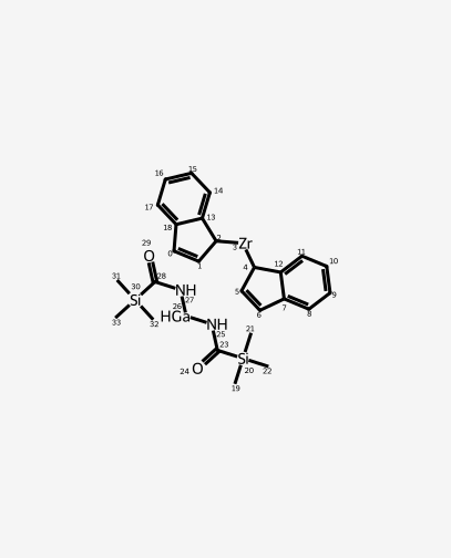 C1=C[CH]([Zr][CH]2C=Cc3ccccc32)c2ccccc21.C[Si](C)(C)C(=O)[NH][GaH][NH]C(=O)[Si](C)(C)C